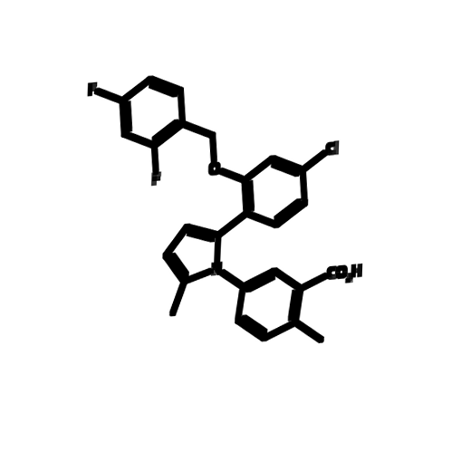 Cc1ccc(-n2c(C)ccc2-c2ccc(Cl)cc2OCc2ccc(F)cc2F)cc1C(=O)O